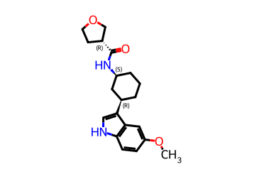 COc1ccc2[nH]cc([C@@H]3CCC[C@H](NC(=O)[C@@H]4CCOC4)C3)c2c1